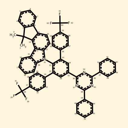 CC1(C)c2ccccc2-c2ccc3c(c21)c1ccccc1n3-c1c(-c2ccc(C(F)(F)F)cc2)cc(-c2nc(-c3ccccc3)nc(-c3ccccc3)n2)cc1-c1ccc(C(F)(F)F)cc1